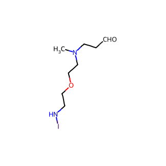 CN(CCC=O)CCOCCNI